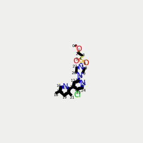 COCCS(=O)(=O)N1CCN(c2cc(-c3ncc(C)cc3C)c(Cl)cn2)CC1